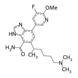 COc1ncc(-c2cc(C(C)CCCCN(C)C)c(C(N)=O)c3[nH]cnc23)cc1F